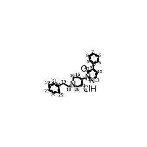 Cl.O=c1c(-c2ccccc2)ccnn1C1CCN(CCc2ccccc2)CC1